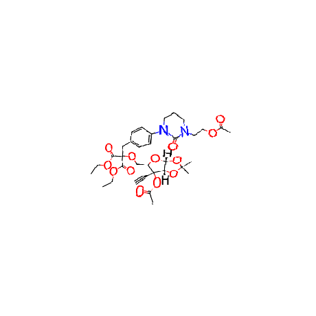 C#C[C@@]1(OC(C)=O)[C@@H](COC(Cc2ccc(N3CCCN(CCOC(C)=O)C3=O)cc2)(C(=O)OCC)C(=O)OCC)O[C@@H]2OC(C)(C)O[C@@H]21